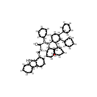 O=C(N=Nc1cccc2c1[nH]c1ccccc12)N(c1ccccc1)N(c1ccccc1)c1ccc(-c2ccccc2)c(-c2ccccc2)c1-c1ccccc1